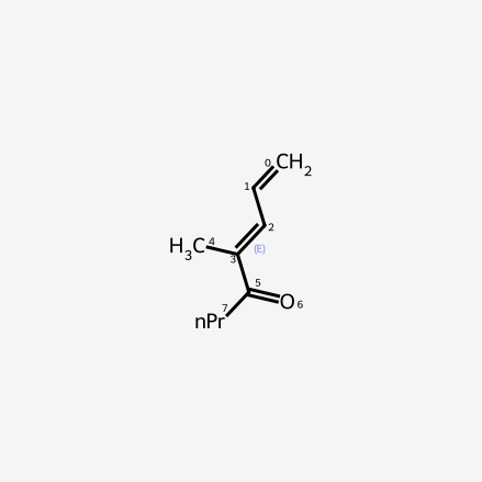 C=C/C=C(\C)C(=O)CCC